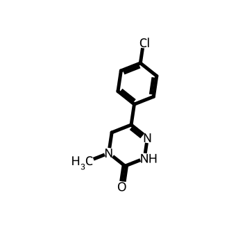 CN1CC(c2ccc(Cl)cc2)=NNC1=O